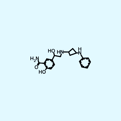 NC(=O)c1cc(C(O)CNC2CC(Nc3ccccc3)C2)ccc1O